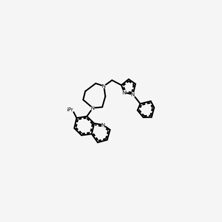 CC(C)c1ccc2cccnc2c1N1CCCN(Cc2ccn(-c3ccccc3)n2)CC1